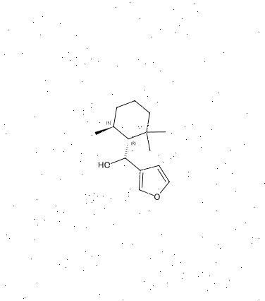 C[C@H]1CCCC(C)(C)[C@@H]1C(O)c1ccoc1